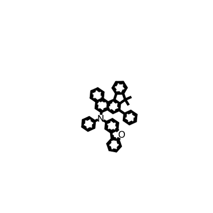 CC1(C)c2ccccc2-c2c1c(-c1ccccc1)cc1c(N(c3ccccc3)c3ccc4oc5ccccc5c4c3)cc3ccccc3c21